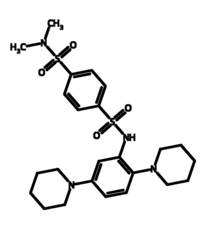 CN(C)S(=O)(=O)c1ccc(S(=O)(=O)Nc2cc(N3CCCCC3)ccc2N2CCCCC2)cc1